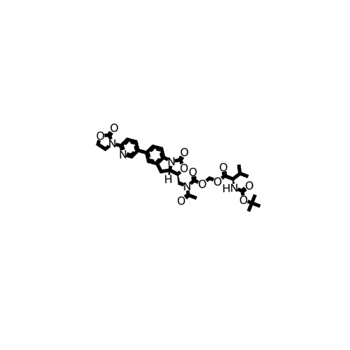 CC(=O)N(C[C@@H]1OC(=O)N2c3ccc(-c4ccc(N5CCOC5=O)nc4)cc3C[C@@H]12)C(=O)OCOC(=O)[C@H](NC(=O)OC(C)(C)C)C(C)C